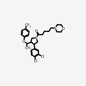 CC(Oc1ccc(C(F)(F)F)cc1)C1CN(C(=O)CCCCN2CCOCC2)CC1c1ccc(Cl)c(Cl)c1